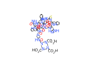 CC(C)[C@H](NC(=O)[C@H](C)NC(=O)[C@H](Cc1c[nH]c2ccccc12)NC(=O)[C@H](CCC(N)=O)NC(=O)[C@@H](Cc1ccccc1)NC(=O)CN1CCC(NC(=O)CN2CCN(CC(=O)O)CCN(CC(=O)O)CCN(CC(=O)O)CC2)CC1)C(=O)NCC(=O)N[C@@H](Cc1cnc[nH]1)C(=O)N[C@@H](Cc1ccccc1)C(=O)N1CSC[C@H]1C(N)=O